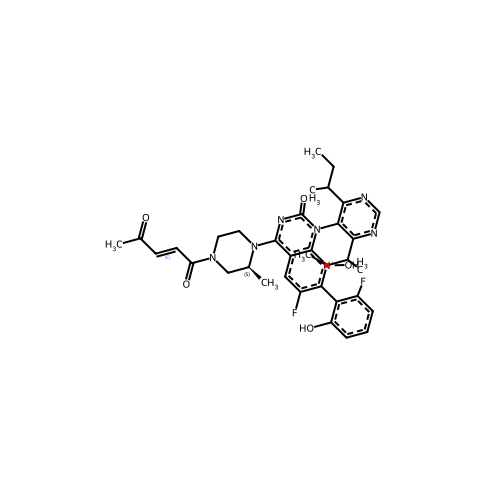 CCC(C)c1ncnc(C(C)CC)c1-n1c(=O)nc(N2CCN(C(=O)/C=C/C(C)=O)C[C@@H]2C)c2cc(F)c(-c3c(O)cccc3F)[n+](O)c21